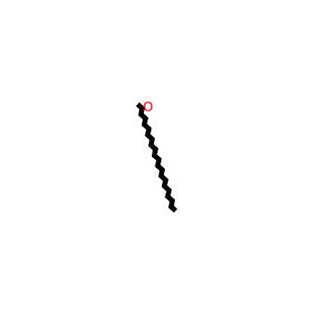 CCCCCCCCCCCCCCCCCCCCC(C)=O